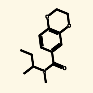 CCC(C)N(C)C(=O)c1ccc2c(c1)OCCO2